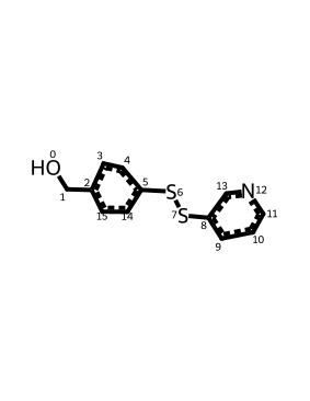 OCc1ccc(SSc2cccnc2)cc1